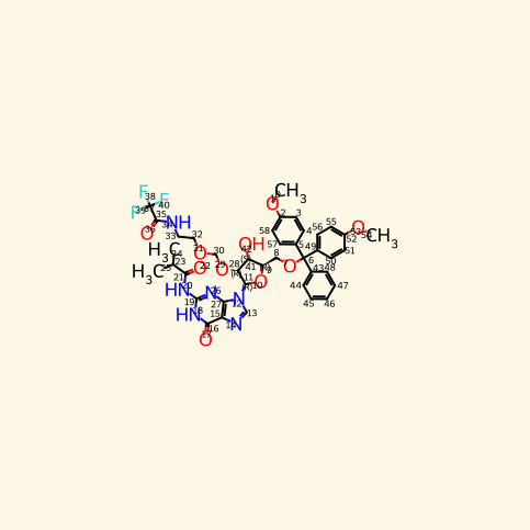 COc1ccc(C(OC[C@H]2O[C@@H](n3cnc4c(=O)[nH]c(NC(=O)C(C)C)nc43)[C@H](OCOCCNC(=O)C(F)(F)F)[C@H]2O)(c2ccccc2)c2ccc(OC)cc2)cc1